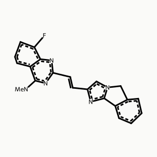 CNc1nc(C=Cc2cn3c(n2)-c2ccccc2C3)nc2c(F)cccc12